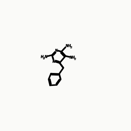 Nc1nc(N)c(N)c(Cc2ccccc2)n1